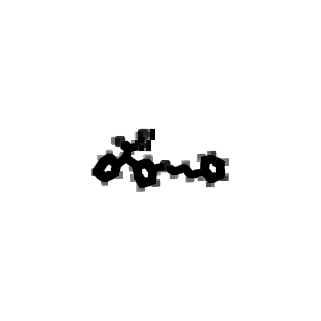 O=C(NO)C(c1ccccc1)c1cccc(OCCCc2ccccc2)c1